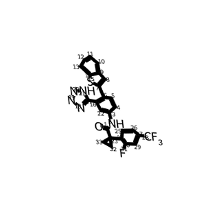 O=C(Nc1ccc(-c2cc3ccccc3s2)c(-c2nnn[nH]2)c1)C1(c2ccc(C(F)(F)F)cc2F)CC1